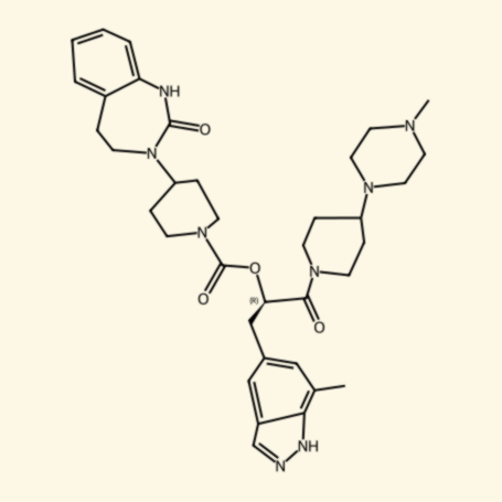 Cc1cc(C[C@@H](OC(=O)N2CCC(N3CCc4ccccc4NC3=O)CC2)C(=O)N2CCC(N3CCN(C)CC3)CC2)cc2cn[nH]c12